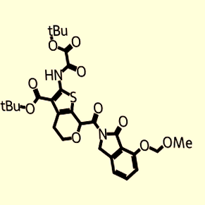 COCOc1cccc2c1C(=O)N(C(=O)C1OCCc3c1sc(NC(=O)C(=O)OC(C)(C)C)c3C(=O)OC(C)(C)C)C2